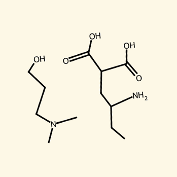 CCC(N)CC(C(=O)O)C(=O)O.CN(C)CCCO